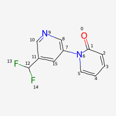 O=c1ccccn1-c1cncc(C(F)F)c1